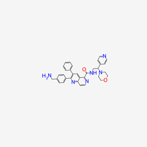 NCc1ccc(-c2nc3ccnc(C(=O)NCC(c4ccncc4)N4CCOCC4)c3cc2-c2ccccc2)cc1